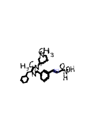 Cc1c(Cc2ccccc2)nc(-c2cccc(/C=C/C(=O)NO)c2)n1[C@@H]1CCCN(C)C1